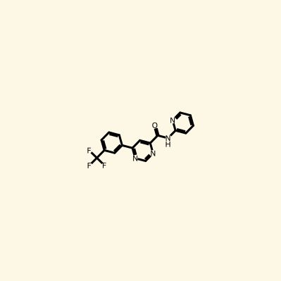 O=C(Nc1ccccn1)c1cc(-c2cccc(C(F)(F)F)c2)ncn1